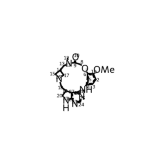 COc1ccc2cc1OCC(=O)N(C)CC1CN(C1)CC1CNc3ncnc(c31)N2